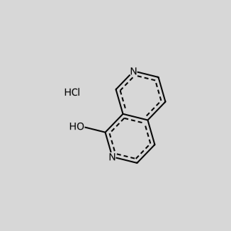 Cl.Oc1nccc2ccncc12